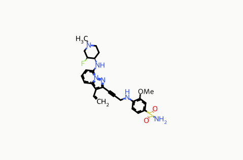 C=Cc1c(C#CCNc2ccc(S(N)(=O)=O)cc2OC)nn2c(N[C@@H]3CCN(C)C[C@@H]3F)cccc12